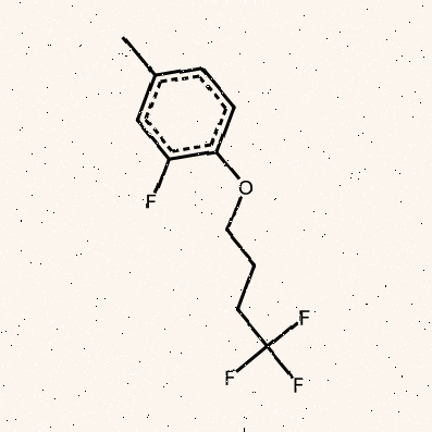 Cc1ccc(OCCCC(F)(F)F)c(F)c1